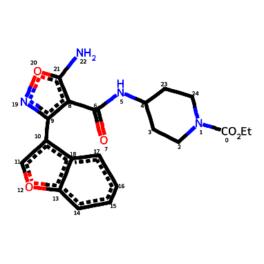 CCOC(=O)N1CCC(NC(=O)c2c(-c3coc4ccccc34)noc2N)CC1